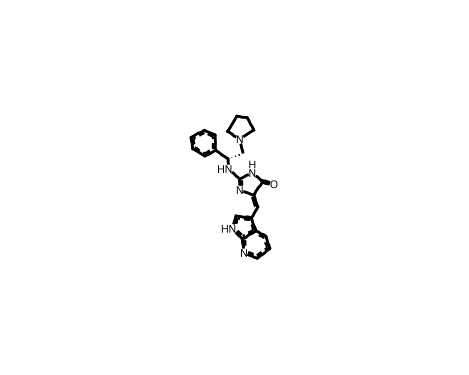 O=C1NC(N[C@@H](CN2CCCC2)c2ccccc2)=NC1=Cc1c[nH]c2ncccc12